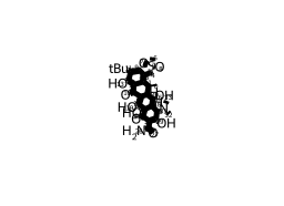 C[C@@H]1c2c(CS(C)(=O)=O)cc(C(C)(C)C)c(O)c2C(=O)C2=C(O)[C@@]3(O)C(=O)C(C(N)=O)=C(O)[C@H](N(C)C)[C@H]3[C@H](O)[C@H]21